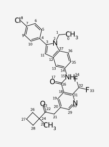 CCn1c(-c2ccc(Cl)cc2)cc2cc(NC(=O)c3cc(CC(=O)C4(C)CCC4)cnc3C(F)F)ccc21